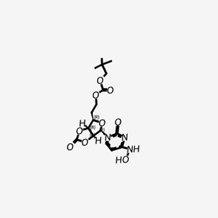 CC(C)(C)COC(=O)OCC[C@H]1O[C@@H](n2ccc(NO)nc2=O)[C@@H]2OC(=O)O[C@@H]21